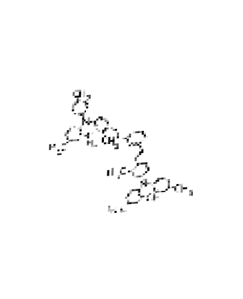 Cc1ccc(N(c2ccc(C=Cc3cccc(C=Cc4ccc(N(c5ccc(C)cc5)c5ccc(C)cc5C)cc4C)c3)c(C)c2)c2ccc(C)cc2C)cc1